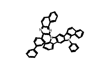 c1ccc(-c2ccc(-c3nc4ccc5ccccc5c4nc3-n3c4ccccc4c4cc5c(cc43)c3ccc4ccccc4c3n5-c3ccccc3)cc2)cc1